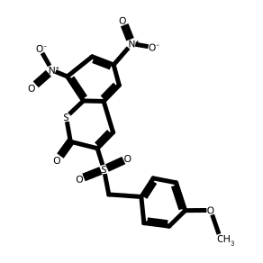 COc1ccc(CS(=O)(=O)c2cc3cc([N+](=O)[O-])cc([N+](=O)[O-])c3sc2=O)cc1